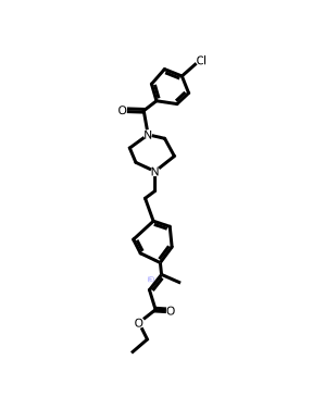 CCOC(=O)/C=C(\C)c1ccc(CCN2CCN(C(=O)c3ccc(Cl)cc3)CC2)cc1